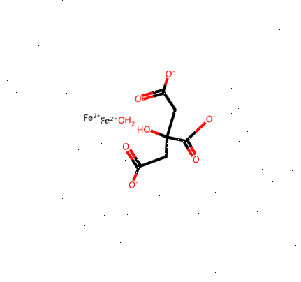 O.O=C([O-])CC(O)(CC(=O)[O-])C(=O)[O-].[Fe+2].[Fe+2]